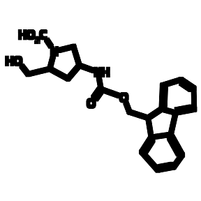 O=C(NC1CC(CO)N(C(=O)O)C1)OCC1c2ccccc2-c2ccccc21